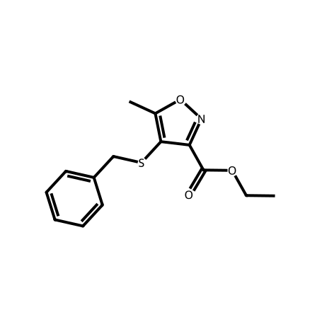 CCOC(=O)c1noc(C)c1SCc1ccccc1